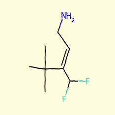 CC(C)(C)/C(=C\CN)C(F)F